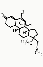 C=C=C[C@]1(O)CC[C@H]2[C@@H]3C=C(Cl)C4=CC(=O)CC[C@]4(C)[C@H]3CC[C@@]21C